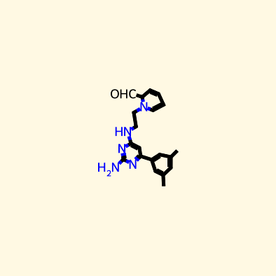 Cc1cc(C)cc(-c2cc(NCCN3C=CC=CC3C=O)nc(N)n2)c1